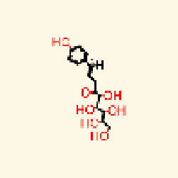 [2H]/C(=C\CC(=O)[C@H](O)[C@@H](O)[C@H](O)[C@H](O)CO)c1ccc(O)cc1